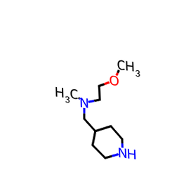 COCCN(C)CC1CCNCC1